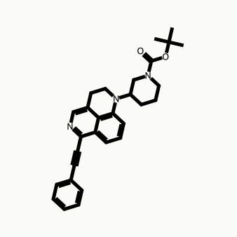 CC(C)(C)OC(=O)N1CCCC(N2CCc3cnc(C#Cc4ccccc4)c4cccc2c34)C1